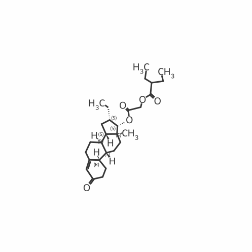 CCC(CC)C(=O)OCC(=O)O[C@H]1[C@@H](CC)C[C@H]2[C@@H]3CCC4=CC(=O)CC[C@@H]4[C@H]3CC[C@@]21C